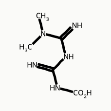 CN(C)C(=N)NC(=N)NC(=O)O